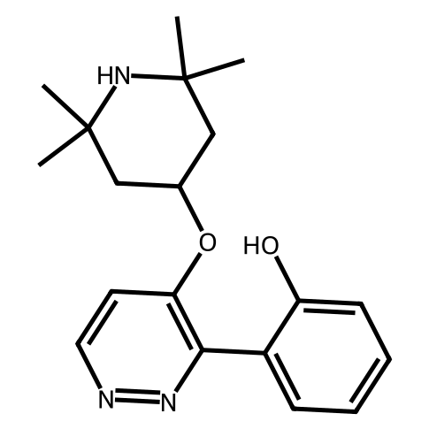 CC1(C)CC(Oc2ccnnc2-c2ccccc2O)CC(C)(C)N1